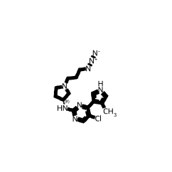 Cc1c[nH]cc1-c1nc(N[C@@H]2CCN(CCCN=[N+]=[N-])C2)ncc1Cl